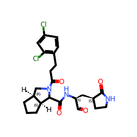 O=C[C@H](C[C@@H]1CCNC1=O)NC(=O)C1[C@H]2CCC[C@H]2CN1C(=O)CCc1ccc(Cl)cc1Cl